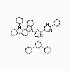 c1ccc(-c2cc(-c3ccccc3)cc(-c3nc(-c4cnc(-c5ccccc5)nc4)nc(-n4c5ccccc5c5c4ccc4c6ccccc6n(-c6ccccc6)c45)n3)c2)cc1